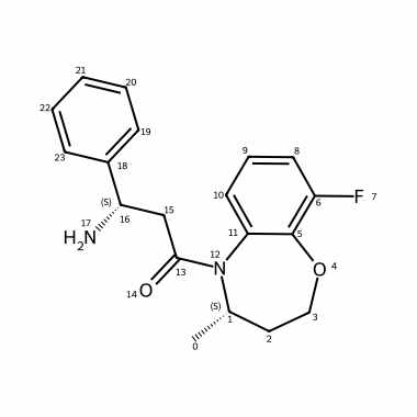 C[C@H]1CCOc2c(F)cccc2N1C(=O)C[C@H](N)c1ccccc1